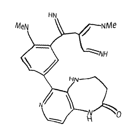 CN/C=C(\C=N)C(=N)c1cc(-c2nccc3c2NCCC(=O)N3)ccc1NC